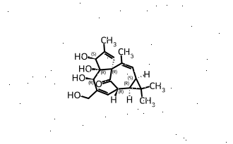 CC1=C[C@]23C(=O)[C@@H](C=C(CO)[C@@H](O)[C@]2(O)[C@H]1O)[C@H]1[C@@H](C=C3C)C1(C)C